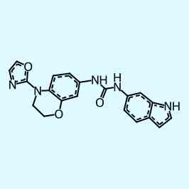 O=C(Nc1ccc2c(c1)OCCN2c1ncco1)Nc1ccc2cc[nH]c2c1